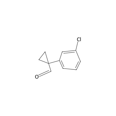 O=CC1(c2cccc(Cl)c2)CC1